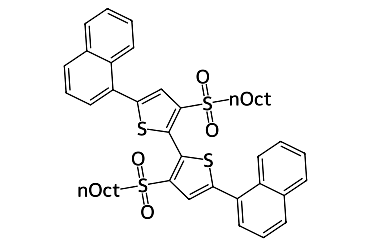 CCCCCCCCS(=O)(=O)c1cc(-c2cccc3ccccc23)sc1-c1sc(-c2cccc3ccccc23)cc1S(=O)(=O)CCCCCCCC